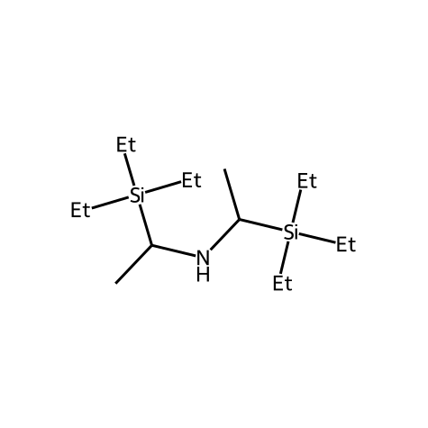 CC[Si](CC)(CC)C(C)NC(C)[Si](CC)(CC)CC